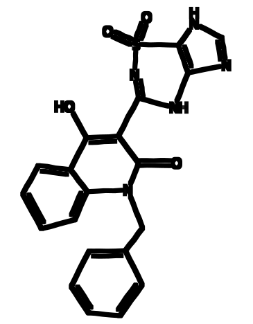 O=c1c(C2=NS(=O)(=O)c3[nH]cnc3N2)c(O)c2ccccc2n1Cc1ccccc1